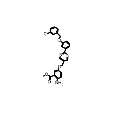 COC(=O)c1cc(OCc2cnc(-c3cccc(OCc4cccc(Cl)c4)c3)nc2)ccc1N